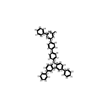 Cc1cc(-c2ccc(-c3ccc(-n4c5ccc(-c6ccccc6)cc5c5cc(-c6ccccc6)ccc54)cc3)cc2)nc(-c2ccccc2)n1